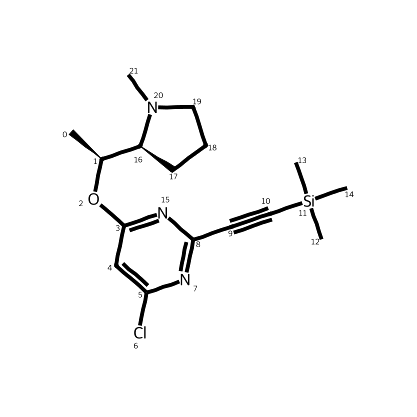 C[C@H](Oc1cc(Cl)nc(C#C[Si](C)(C)C)n1)[C@@H]1CCCN1C